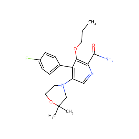 CCCOc1c(C(N)=O)ncc(N2CCOC(C)(C)C2)c1-c1ccc(F)cc1